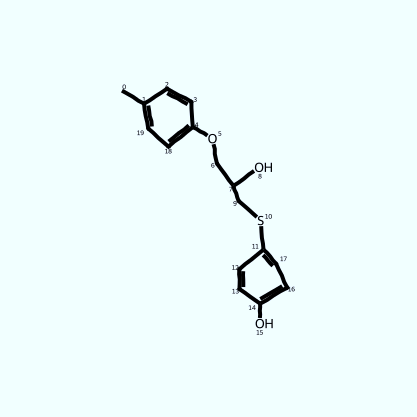 Cc1ccc(OCC(O)CSc2ccc(O)cc2)cc1